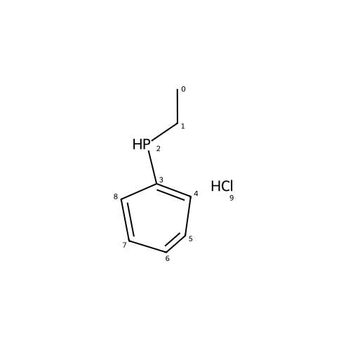 CCPc1ccccc1.Cl